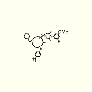 COc1cc(F)cc(N2C(C)CN(SN3CCCN(CC4CCCCC4)CCCN(Sc4ccc(N(C)C)cc4)CC(C)C3)CC2C)c1